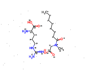 CCCCCCCC(=O)N(C)CC(=O)O.N=C(N)NCCCC(N)C(=O)O